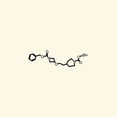 CC(C)(C)OC(=O)N1CCC(CCOC2CN(C(=O)OCc3ccccc3)C2)CC1